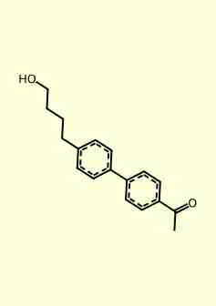 CC(=O)c1ccc(-c2ccc(CCCCO)cc2)cc1